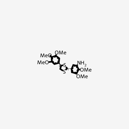 COc1cc([C@@H]2SC[C@@H](c3cc(OC)c(OC)c(OC)c3)S2)cc(N)c1OC